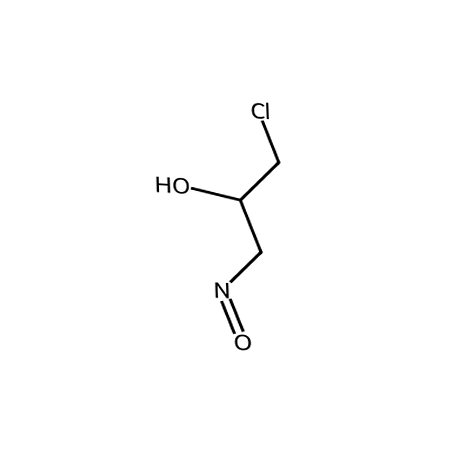 O=NCC(O)CCl